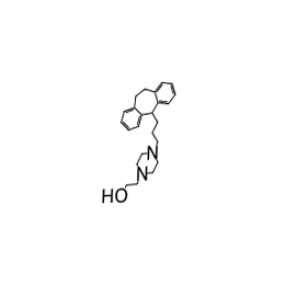 OCCN1CCN(CCCC2c3ccccc3CCc3ccccc32)CC1